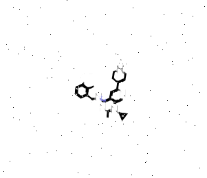 CC(=O)N1CC=C(c2cc3/c(=N/[C@H](C)c4cccc(C(F)(F)F)c4C)nc(C)n(C4CC4)c3cn2)CC1